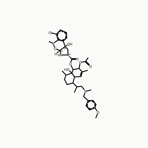 COc1ccc(CN(C)CC(C)C2CCC(C)C3(O)C2C=C(C)C(OC(C)=O)C3OC(=O)[C@@H]2C[C@@]3(O)c4cccc(Cl)c4N(C)O[C@H]3N2)cc1